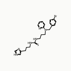 S=C(NCCCc1c[nH]cn1)NCCCN(Cc1ccc(Br)cc1)c1ccccn1